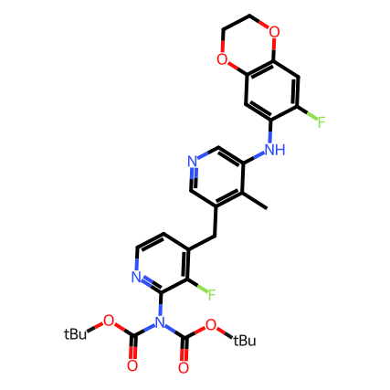 Cc1c(Cc2ccnc(N(C(=O)OC(C)(C)C)C(=O)OC(C)(C)C)c2F)cncc1Nc1cc2c(cc1F)OCCO2